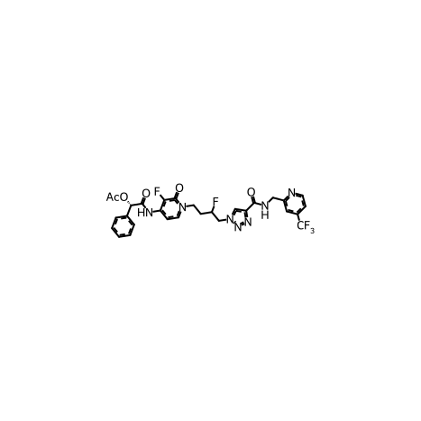 CC(=O)O[C@H](C(=O)Nc1ccn(CCC(F)Cn2cc(C(=O)NCc3cc(C(F)(F)F)ccn3)nn2)c(=O)c1F)c1ccccc1